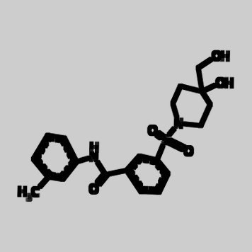 Cc1cccc(NC(=O)c2cccc(S(=O)(=O)N3CCC(O)(CO)CC3)c2)c1